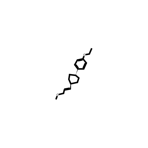 CCOc1ccc([C@H]2CC[C@H](C=CCOC)CC2)cc1